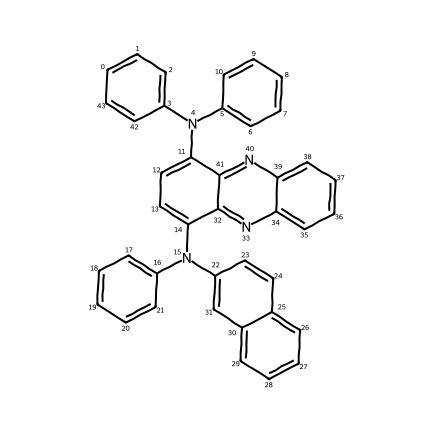 c1ccc(N(c2ccccc2)c2ccc(N(c3ccccc3)c3ccc4ccccc4c3)c3nc4ccccc4nc23)cc1